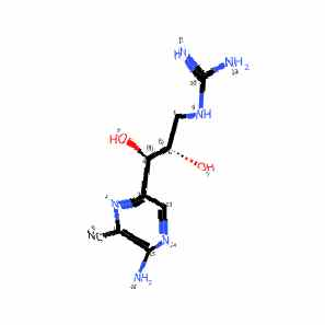 N#Cc1nc([C@@H](O)[C@@H](O)CNC(=N)N)cnc1N